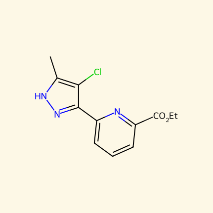 CCOC(=O)c1cccc(-c2n[nH]c(C)c2Cl)n1